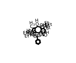 CC[Si](CC)(CC)O[C@H]1C[C@@]2(O)[C@@H](OC(=O)c3ccccc3)[C@@H]3[C@]4(OC(C)=O)CO[C@@H]4C[C@H](O[Si](CC)(CC)CC)[C@@]3(C)[C@@H](O)[C@@H](O)C(=C1C)C2(C)C